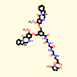 COc1cc2c(cc1OCc1cc(COc3cc4c(cc3OC)C(=O)N3c5ccccc5C[C@H]3CN4)cc(C(=O)NCC(=O)NCC(=O)NCC(=O)NCCC(=O)ON3C(=O)CCC3O)c1)N=C[C@@H]1Cc3ccccc3N1C2=O